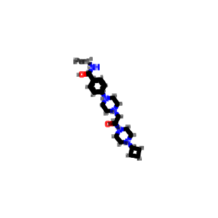 CCCC(C)NC(=O)c1ccc(N2CCN(CC(=O)N3CCN(C4CCC4)CC3)CC2)cc1